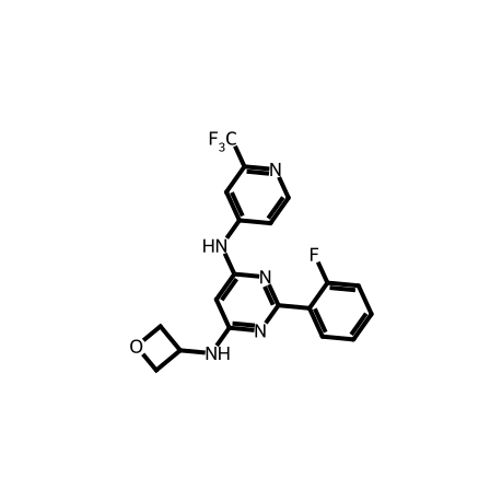 Fc1ccccc1-c1nc(Nc2ccnc(C(F)(F)F)c2)cc(NC2COC2)n1